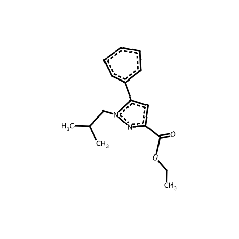 CCOC(=O)c1cc(-c2ccccc2)n(CC(C)C)n1